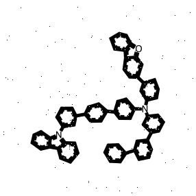 c1ccc(-c2cccc(-c3cccc(N(c4ccc(-c5ccc(-c6cccc(-n7c8ccccc8c8ccccc87)c6)cc5)cc4)c4cccc(-c5ccc6c(c5)oc5ccccc56)c4)c3)c2)cc1